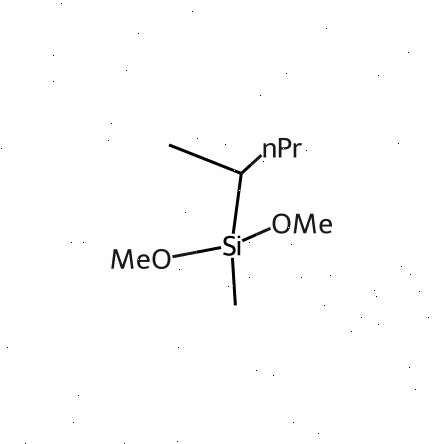 CCCC(C)[Si](C)(OC)OC